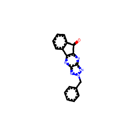 O=C1c2ccccc2-c2nc3nn(Cc4ccccc4)nc3nc21